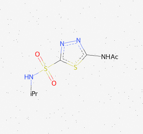 CC(=O)Nc1nnc(S(=O)(=O)NC(C)C)s1